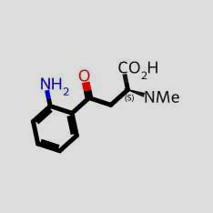 CN[C@@H](CC(=O)c1ccccc1N)C(=O)O